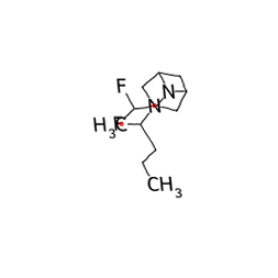 CCCC(C)N1CC2CC(C1)N2CC(F)F